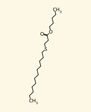 CCCCCCCCCCCCSCCC(=O)OCCCCC